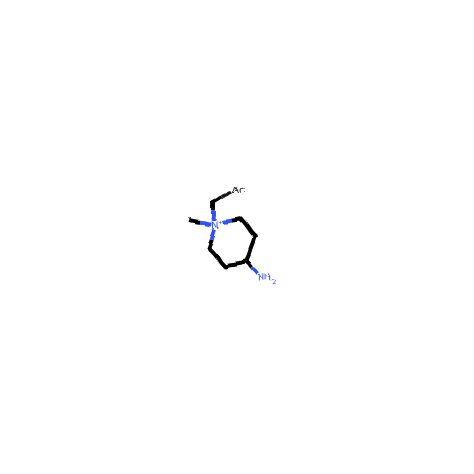 CC(=O)C[N+]1(C)CCC(N)CC1